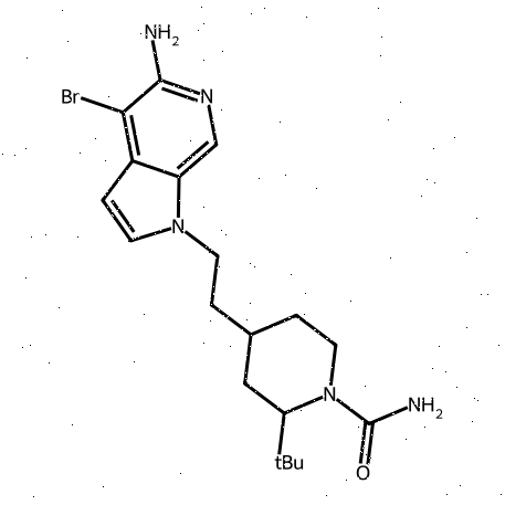 CC(C)(C)C1CC(CCn2ccc3c(Br)c(N)ncc32)CCN1C(N)=O